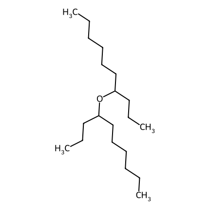 CCCCCCC(CCC)OC(CCC)CCCCCC